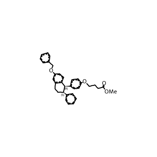 COC(=O)CCCOc1ccc([C@@H]2c3ccc(OCc4ccccc4)cc3CC[C@@H]2c2ccccc2)cc1